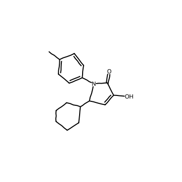 Cc1ccc(N2C(=O)C(O)=CC2C2CCCCC2)cc1